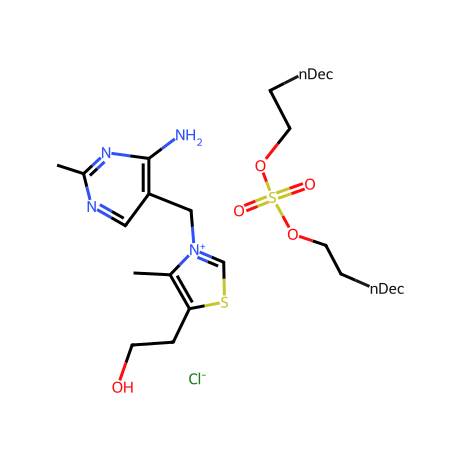 CCCCCCCCCCCCOS(=O)(=O)OCCCCCCCCCCCC.Cc1ncc(C[n+]2csc(CCO)c2C)c(N)n1.[Cl-]